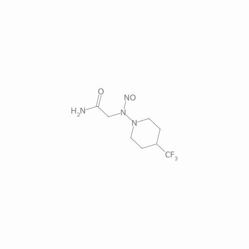 NC(=O)CN(N=O)N1CCC(C(F)(F)F)CC1